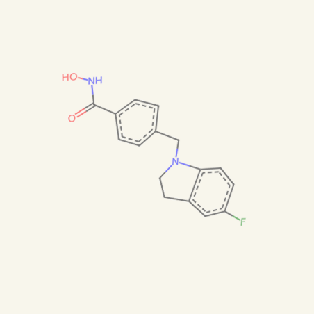 O=C(NO)c1ccc(CN2CCc3cc(F)ccc32)cc1